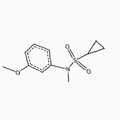 COc1cccc(N(C)S(=O)(=O)C2CC2)c1